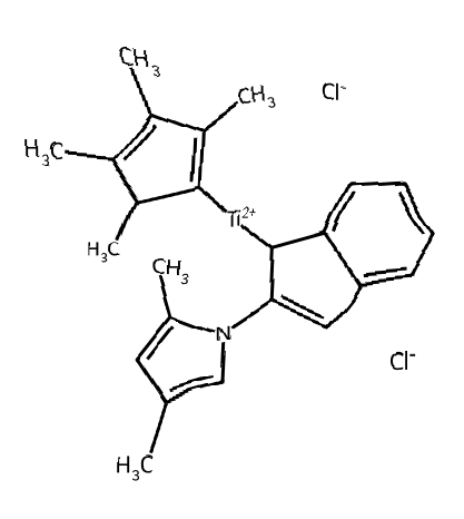 CC1=C(C)C(C)[C]([Ti+2][CH]2C(n3cc(C)cc3C)=Cc3ccccc32)=C1C.[Cl-].[Cl-]